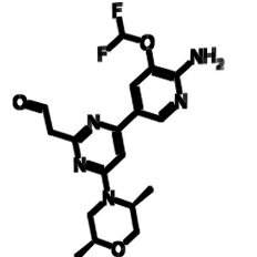 C[C@H]1CN(c2cc(-c3cnc(N)c(OC(F)F)c3)nc(CC=O)n2)[C@@H](C)CO1